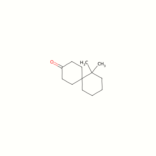 CC1(C)CCCCC12CCC(=O)CC2